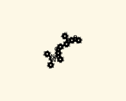 c1ccc(-c2cc(-c3ccccc3)nc(-n3c4ccccc4c4cc5c(cc43)oc3ccc(-c4ccc6c7cc8c(cc7n(-c7ccccc7)c6c4)oc4ccccc48)cc35)n2)cc1